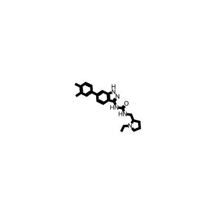 CCN1CCCC1CNC(=O)Nc1n[nH]c2cc(-c3ccc(C)c(C)c3)ccc12